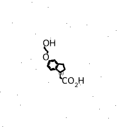 O=C(O)C[C@@H]1CCc2cc(OCCO)ccc21